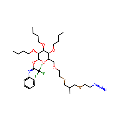 CCCCOC1[C@@H](OCCCC)C(COCCSCC(C)CSCCN=[N+]=[N-])O[C@@H](O/C(=N/c2ccccc2)C(F)(F)F)[C@H]1OCCCC